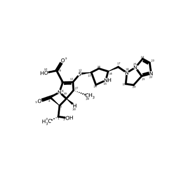 C[C@@H](O)[C@H]1C(=O)N2C(C(=O)O)=C(S[C@@H]3CN[C@H](CN4CCc5nccn54)C3)[C@H](C)[C@H]12